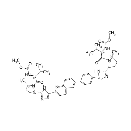 COC(=O)N[C@H](C(=O)N1C(c2ncc(-c3ccc(-c4ccc5nc(-c6cnc([C@@H]7CC[C@H](C)N7C(=O)[C@@H](NC(=O)OC)C(C)C)[nH]6)ccc5c4)cc3)[nH]2)CC[C@@H]1C)C(C)C